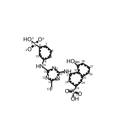 O=S(=O)(O)c1cccc(Nc2nc(F)nc(Nc3cc(S(=O)(=O)O)cc4cccc(O)c34)n2)c1